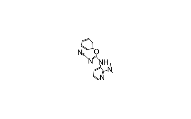 CN(C)c1ncccc1N/C(=N/C#N)Oc1ccccc1